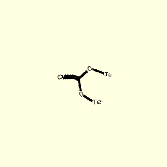 O=C(O[Te])O[Te]